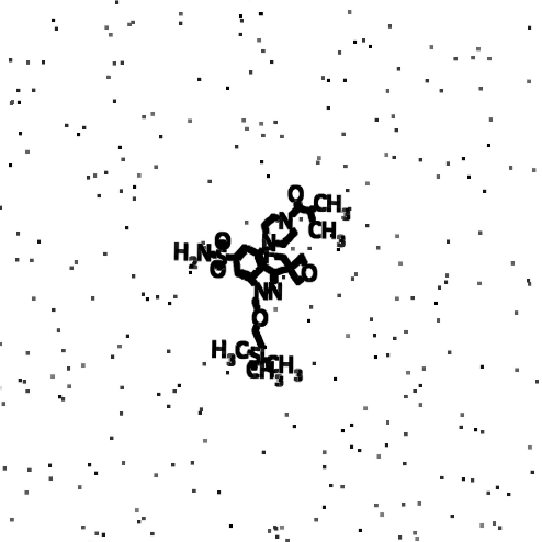 CC(C)C(=O)N1CCN(c2cc(S(N)(=O)=O)cc3c2c(C2(CF)COC2)nn3COCC[Si](C)(C)C)CC1